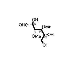 CO[C@@H]([C@H](OC)[C@@H](O)C=O)[C@H](O)CO